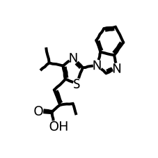 CCC(=Cc1sc(-n2cnc3ccccc32)nc1C(C)C)C(=O)O